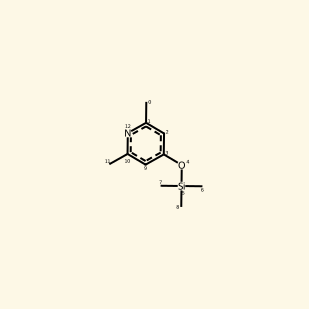 Cc1cc(O[Si](C)(C)C)cc(C)n1